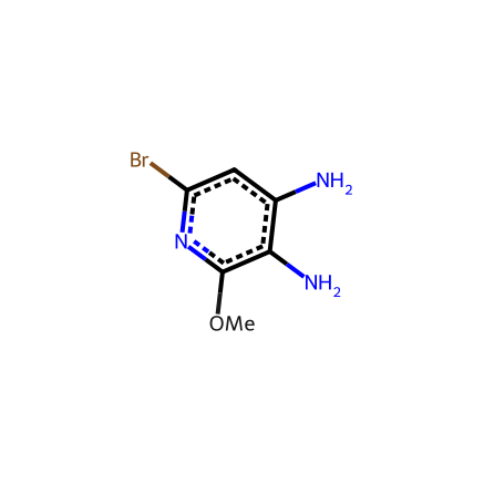 COc1nc(Br)cc(N)c1N